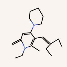 C=C1C=C(N2CCCCC2)C(C=C(CC)CC)=C(C)N1CC